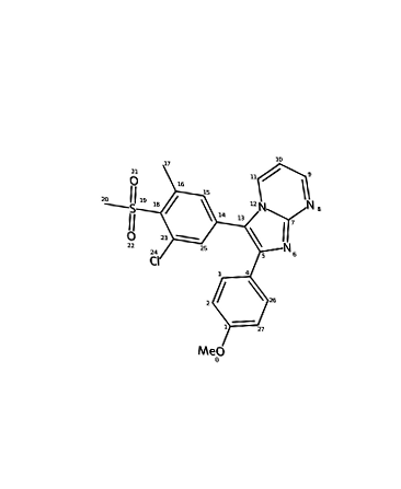 COc1ccc(-c2nc3ncccn3c2-c2cc(C)c(S(C)(=O)=O)c(Cl)c2)cc1